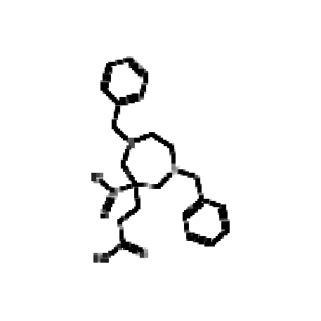 O=C(O)CCC1([N+](=O)[O-])CN(Cc2ccccc2)CCN(Cc2ccccc2)C1